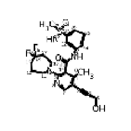 Cc1c(C#CCO)cnc(N2CCCC(F)(F)CC2)c1C(=O)Nc1cccc(S(C)(=N)=O)c1